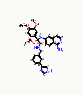 CCOc1cc(C(Nc2ccc3c(N)nccc3c2)(OC(=O)C(F)(F)F)C(=O)NCc2cccc(-c3c[nH]cn3)c2)ccc1OC(C)C